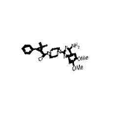 COc1cc2nc(N3CCN(C(=O)C4C(c5ccccc5)C4(C)C)CC3)nc(N)c2cc1OC